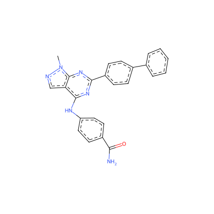 Cn1ncc2c(Nc3ccc(C(N)=O)cc3)nc(-c3ccc(-c4ccccc4)cc3)nc21